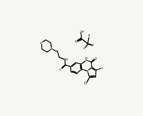 O=C(NCCN1CCOCC1)c1ccc2c(c1)[nH]c(=O)c1c(Cl)cc(Cl)n12.O=C(O)C(F)(F)F